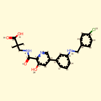 CC(C)(CNC(=O)c1ncc(-c2cccc(NCc3ccc(Cl)cc3)c2)cc1O)C(=O)O